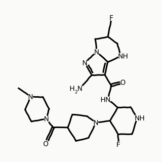 CN1CCN(C(=O)C2CCN(C3C(F)CNCC3NC(=O)c3c(N)nn4c3NCC(F)C4)CC2)CC1